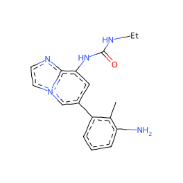 CCNC(=O)Nc1cc(-c2cccc(N)c2C)cn2ccnc12